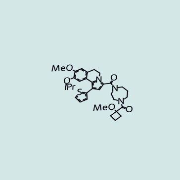 COc1cc2c(cc1OC(C)C)-c1c(-c3cccs3)cc(C(=O)N3CCCN(C(=O)C4(OC)CCC4)CC3)n1CC2